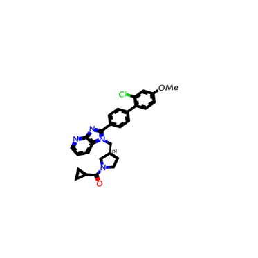 COc1ccc(-c2ccc(-c3nc4ncccc4n3C[C@H]3CCN(C(=O)C4CC4)C3)cc2)c(Cl)c1